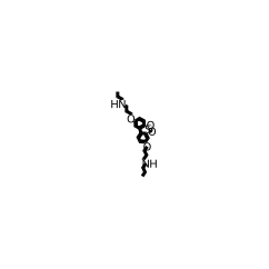 CCCNCCCOc1ccc2c(c1)-c1ccc(OCCCNCCC)cc1S2(=O)=O